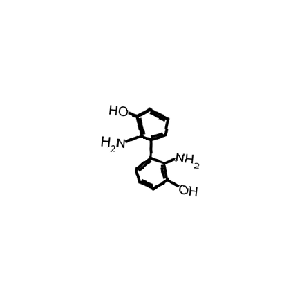 Nc1c(O)cccc1-c1cccc(O)c1N